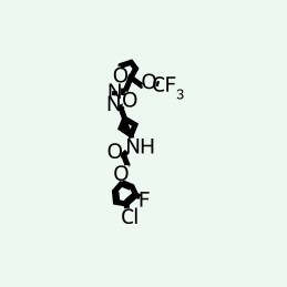 O=C(COc1ccc(Cl)c(F)c1)NC12CC(c3nnc(C4(COC(F)(F)F)CCCO4)o3)(C1)C2